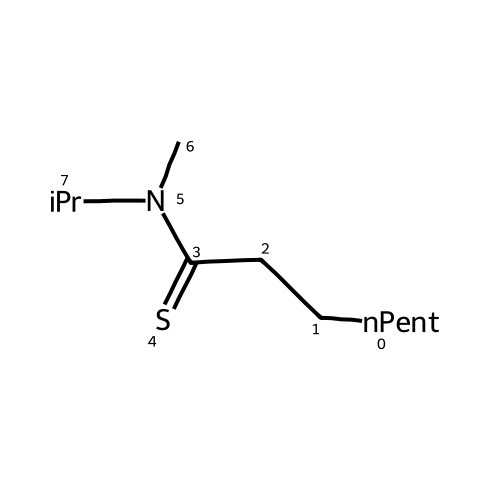 CCCCCCCC(=S)N(C)C(C)C